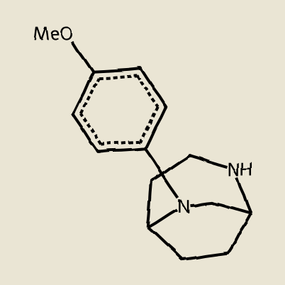 COc1ccc(N2CC3CCC2CCN3)cc1